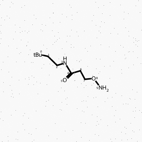 CC(C)(C)CCNC(=O)CCON